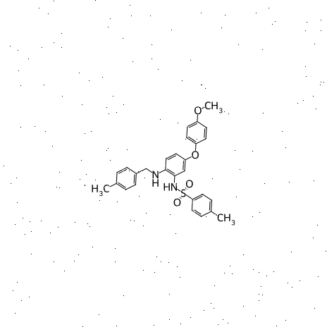 COc1ccc(Oc2ccc(NCc3ccc(C)cc3)c(NS(=O)(=O)c3ccc(C)cc3)c2)cc1